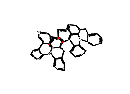 c1ccc2c(c1)Cc1ccccc1N2c1ccccc1-c1cncc(-c2cncc(-c3ccccc3N3c4ccccc4Cc4ccccc43)c2)c1